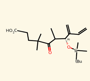 C=CC(=C)[C@H](O[Si](C)(C)C(C)(C)C)C(C)C(=O)C(C)(C)CCC(=O)O